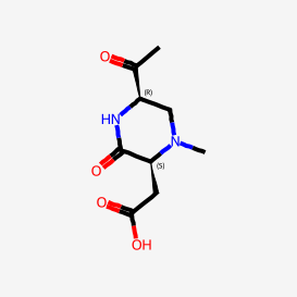 CC(=O)[C@H]1CN(C)[C@@H](CC(=O)O)C(=O)N1